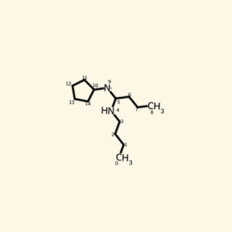 CCCCNC(CCC)[N]C1CCCC1